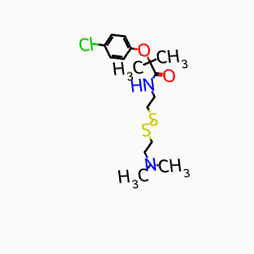 CN(C)CCSSCCNC(=O)C(C)(C)Oc1ccc(Cl)cc1